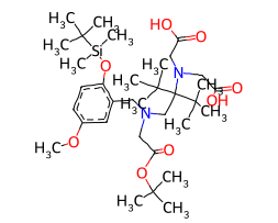 COc1ccc(O[Si](C)(C)C(C)(C)C)c(CN(CC(=O)OC(C)(C)C)CC(N(CC(=O)O)CC(=O)O)(C(C)(C)C)C(C)(C)C)c1